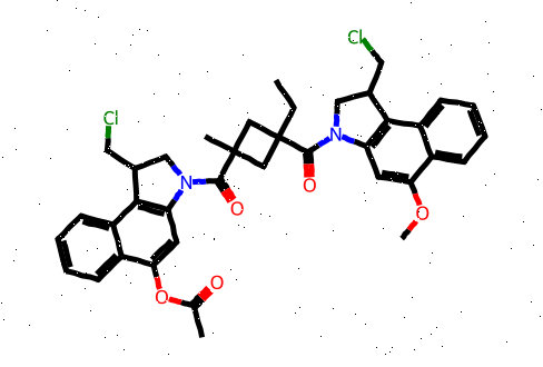 CCC1(C(=O)N2CC(CCl)c3c2cc(OC)c2ccccc32)CC(C)(C(=O)N2CC(CCl)c3c2cc(OC(C)=O)c2ccccc32)C1